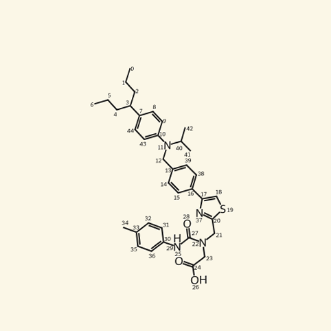 CCCC(CCC)c1ccc(N(Cc2ccc(-c3csc(CN(CC(=O)O)C(=O)Nc4ccc(C)cc4)n3)cc2)C(C)C)cc1